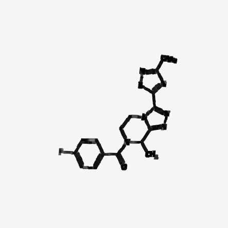 COc1nsc(-c2nnc3n2CCN(C(=O)c2ccc(F)cc2)C3C)n1